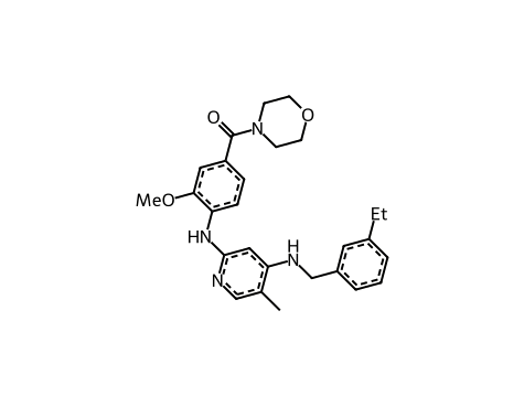 CCc1cccc(CNc2cc(Nc3ccc(C(=O)N4CCOCC4)cc3OC)ncc2C)c1